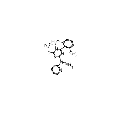 CCn1c(-c2c(C)cccc2C)nc(N(N)c2ccccn2)nc1=O